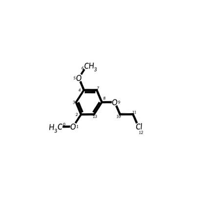 COc1cc(OC)cc(OCCCl)c1